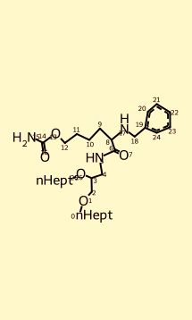 CCCCCCCOCC(CNC(=O)C(CCCCOC(N)=O)NCc1ccccc1)OCCCCCCC